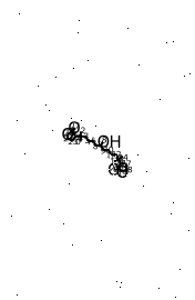 CC(C)(CCCCC(O)CCCCC(C)(C)C1CCOC1=O)C1CCOC1=O